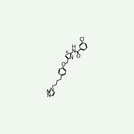 O=C(Nc1nc(COc2ccc(CCCCn3ccnn3)cc2)cs1)c1cccc(Cl)c1